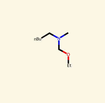 CCCCCN(C)COCC